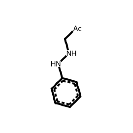 CC(=O)CNNc1ccccc1